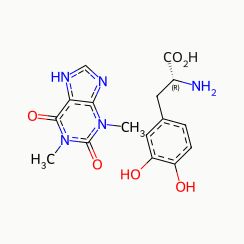 Cn1c(=O)c2[nH]cnc2n(C)c1=O.N[C@H](Cc1ccc(O)c(O)c1)C(=O)O